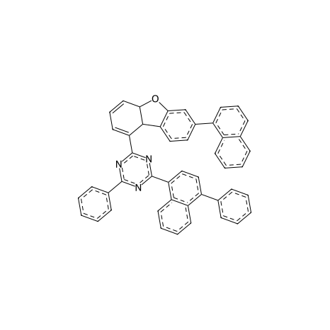 C1=CC2Oc3cc(-c4cccc5ccccc45)ccc3C2C(c2nc(-c3ccccc3)nc(-c3ccc(-c4ccccc4)c4ccccc34)n2)=C1